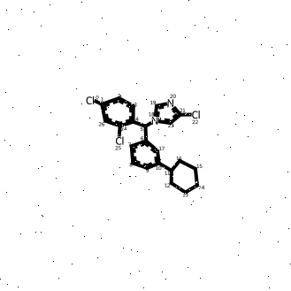 Clc1ccc(C(c2cccc(C3CCCCC3)c2)n2cnc(Cl)c2)c(Cl)c1